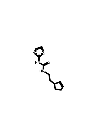 S=C(NCCC1C=CCC1)Nc1nccs1